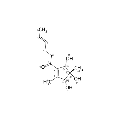 CC=CCCC(=O)C1=C(C)[C@@H](O)[C@@](C)(O)[C@H]1O